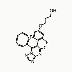 OCCCOc1cc(F)c(-c2c(Cl)nc3ncnn3c2C2=CC=CC=CC=C2)c(F)c1